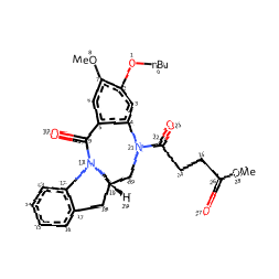 CCCCOc1cc2c(cc1OC)C(=O)N1c3ccccc3C[C@H]1CN2C(=O)CCC(=O)OC